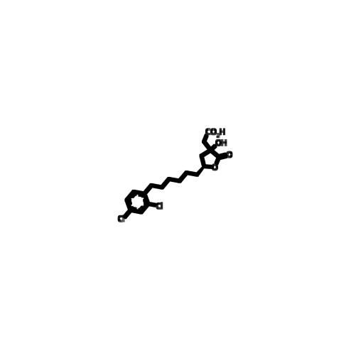 O=C(O)CC1(O)C[C@H](CCCCCCc2ccc(Cl)cc2Cl)OC1=O